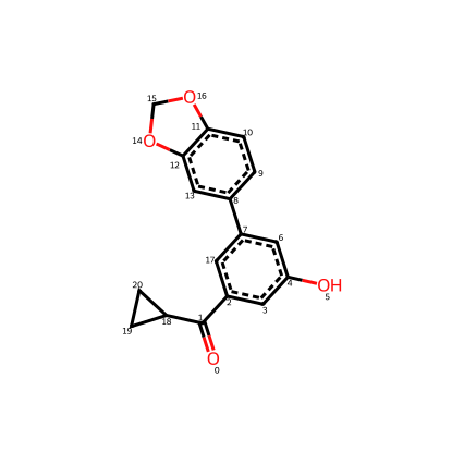 O=C(c1cc(O)cc(-c2ccc3c(c2)OCO3)c1)C1CC1